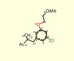 COCCOc1cc(Cl)cc(CC(C)C(C)=O)c1